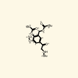 CC(C)(C)NCC(=O)c1ccc(OC(=O)C(C)(C)C)c(COC(=O)C(C)(C)C)c1.CS(=O)(=O)O